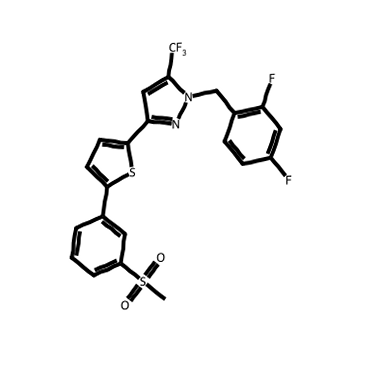 CS(=O)(=O)c1cccc(-c2ccc(-c3cc(C(F)(F)F)n(Cc4ccc(F)cc4F)n3)s2)c1